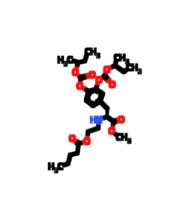 CCCCC(=O)OCCN[C@@H](Cc1ccc(OC(=O)OC(C)CC)c(OC(=O)OC(C)CC)c1)C(=O)OC